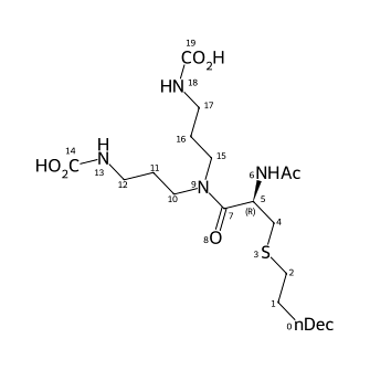 CCCCCCCCCCCCSC[C@H](NC(C)=O)C(=O)N(CCCNC(=O)O)CCCNC(=O)O